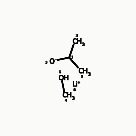 CC(C)[O-].CO.[Li+]